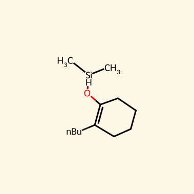 CCCCC1=C(O[SiH](C)C)CCCC1